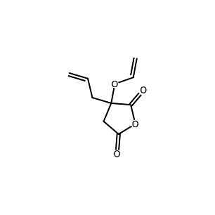 C=CCC1(OC=C)CC(=O)OC1=O